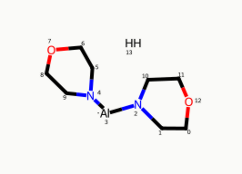 C1C[N]([Al][N]2CCOCC2)CCO1.[HH]